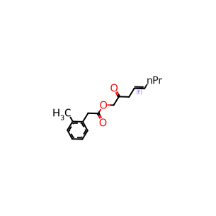 CCC/C=C/CC(=O)COC(=O)Cc1ccccc1C